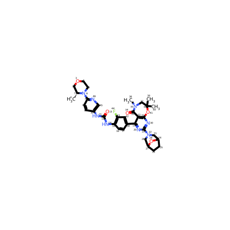 C[C@@H]1COCCN1c1ccc(NC(=O)Nc2ccc(-c3nc(N4CC5CCC(C4)O5)nc4c3C(=O)N(C)CC(C)(C)O4)cc2F)cn1